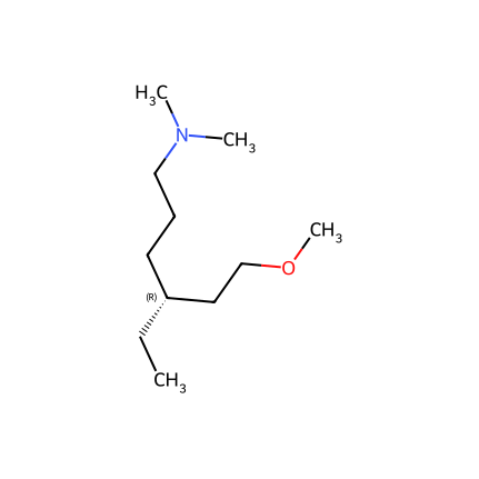 CC[C@H](CCCN(C)C)CCOC